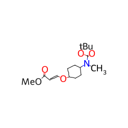 COC(=O)C=COC1CCC(N(C)C(=O)OC(C)(C)C)CC1